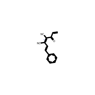 C=CC(=O)/C(C#N)=C(/C#N)C=Cc1ccccc1